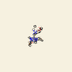 c1ccc(-c2cccc(-n3c4ccc(-c5cc(N(c6ccccc6)c6ccc7c(c6)sc6ccccc67)cc(N(c6ccccc6)c6ccc7sc8ccccc8c7c6)c5)cc4c4cc5ccc6c7ccccc7oc6c5cc43)c2)cc1